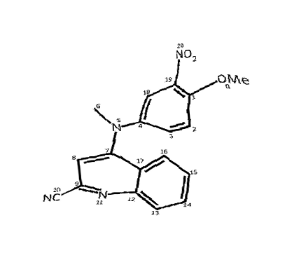 COc1ccc(N(C)c2cc(C#N)nc3ccccc23)cc1[N+](=O)[O-]